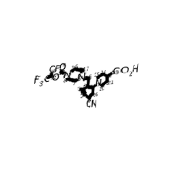 N#Cc1ccc(CN2CCN(C(=O)OC(C(F)(F)F)C(F)(F)F)CC2)c(N2CCC(C(=O)O)CC2)c1